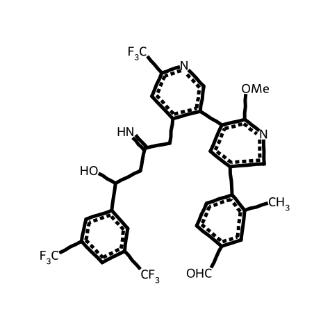 COc1ncc(-c2ccc(C=O)cc2C)cc1-c1cnc(C(F)(F)F)cc1CC(=N)CC(O)c1cc(C(F)(F)F)cc(C(F)(F)F)c1